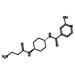 NCCC(=O)N[C@H]1CC[C@H](NC(=O)c2ccnc(O)c2)CC1